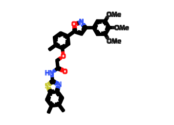 COc1cc(-c2cc(-c3ccc(C)c(OCC(=O)Nc4nc5cc(C)c(C)cc5s4)c3)on2)cc(OC)c1OC